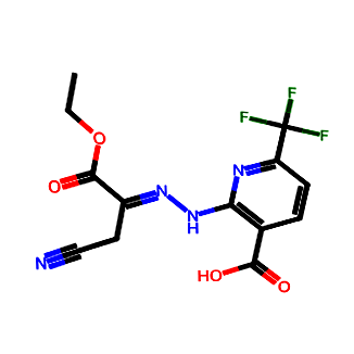 CCOC(=O)/C(CC#N)=N/Nc1nc(C(F)(F)F)ccc1C(=O)O